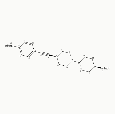 CCCCCCC[C@H]1CC[C@H]([C@H]2CC[C@H](C#Cc3ccc(CCCCCC)cc3)CC2)CC1